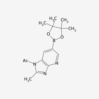 CC(=O)n1c(C)nc2ncc(B3OC(C)(C)C(C)(C)O3)cc21